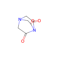 O=C1CN2CC(=O)N1C(=O)C2